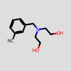 N#Cc1cccc(CN(CCO)CCO)c1